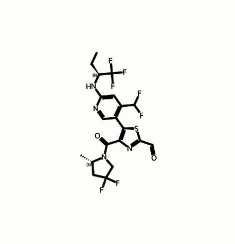 CC[C@H](Nc1cc(C(F)F)c(-c2sc(C=O)nc2C(=O)N2CC(F)(F)C[C@@H]2C)cn1)C(F)(F)F